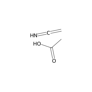 C=C=N.CC(=O)O